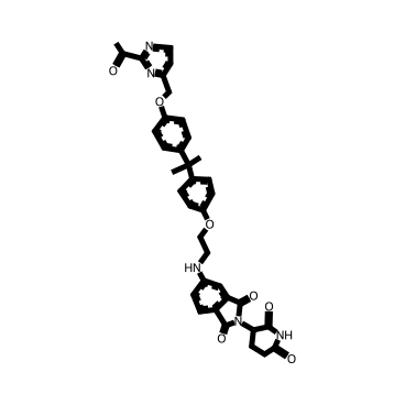 CC(=O)c1nccc(COc2ccc(C(C)(C)c3ccc(OCCNc4ccc5c(c4)C(=O)N(C4CCC(=O)NC4=O)C5=O)cc3)cc2)n1